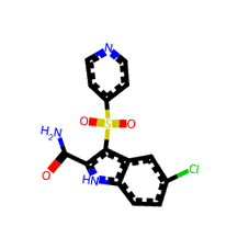 NC(=O)c1[nH]c2ccc(Cl)cc2c1S(=O)(=O)c1ccncc1